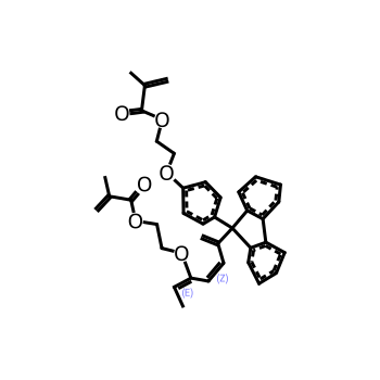 C=C(C)C(=O)OCCOC(/C=C\C(=C)C1(c2ccc(OCCOC(=O)C(=C)C)cc2)c2ccccc2-c2ccccc21)=C/C